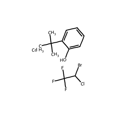 CC(C)(C)c1ccccc1O.FC(F)(F)C(Cl)Br.[Cd]